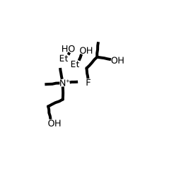 CC(O)CF.CCO.CCO.C[N+](C)(C)CCO